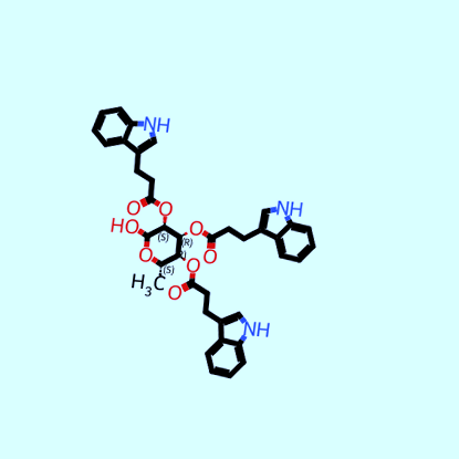 C[C@@H]1OC(O)[C@@H](OC(=O)CCc2c[nH]c3ccccc23)[C@H](OC(=O)CCc2c[nH]c3ccccc23)[C@@H]1OC(=O)CCc1c[nH]c2ccccc12